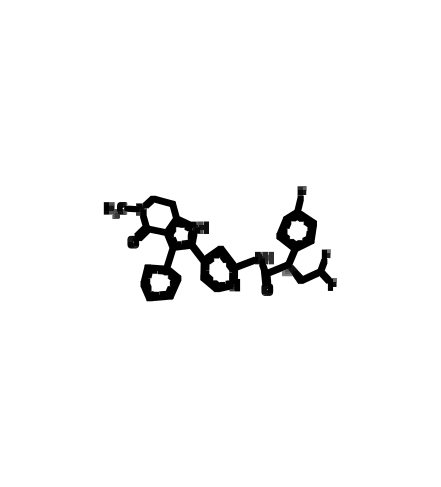 CN1CCc2[nH]c(-c3ccnc(NC(=O)[C@H](CC(F)F)c4ccc(F)cc4)c3)c(-c3ccccc3)c2C1=O